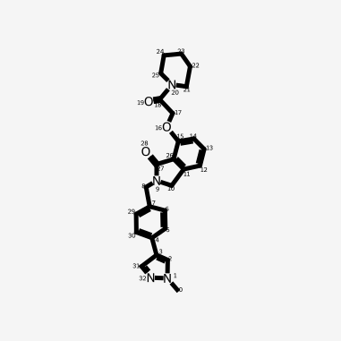 Cn1cc(-c2ccc(CN3Cc4cccc(OCC(=O)N5CCCCC5)c4C3=O)cc2)cn1